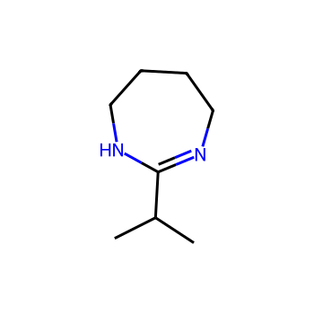 CC(C)C1=NCCCCN1